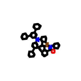 c1ccc(-c2ccc(N(c3cc(-c4ccccc4)cc(-c4ccccc4)c3)c3cccc4sc5c(ccc6cccc(-c7nc8ccccc8o7)c65)c34)cc2)cc1